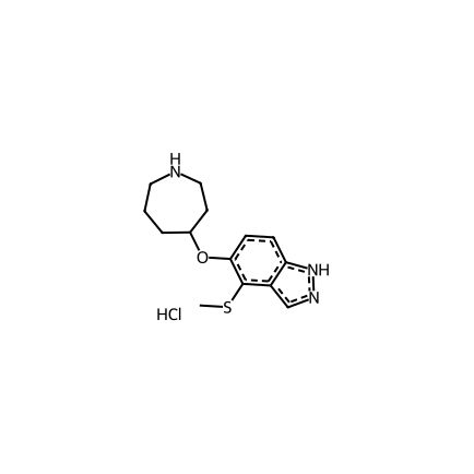 CSc1c(OC2CCCNCC2)ccc2[nH]ncc12.Cl